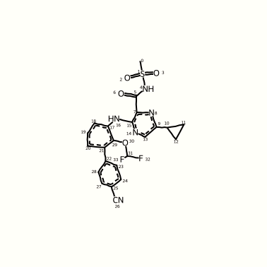 CS(=O)(=O)NC(=O)c1nc(C2CC2)cnc1Nc1cccc(-c2ccc(C#N)cc2)c1OC(F)F